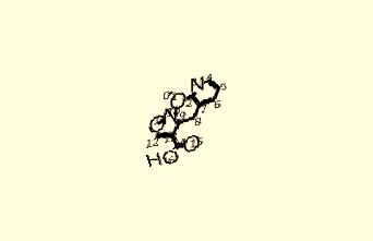 COc1ncccc1Cc1nocc1C(=O)O